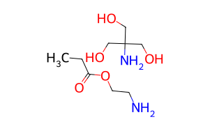 CCC(=O)OCCN.NC(CO)(CO)CO